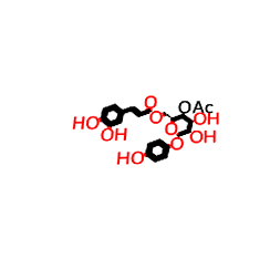 CC(=O)O[C@H]1[C@H](O)[C@@H](O)[C@H](Oc2ccc(O)cc2)O[C@@H]1COC(=O)C=Cc1ccc(O)c(O)c1